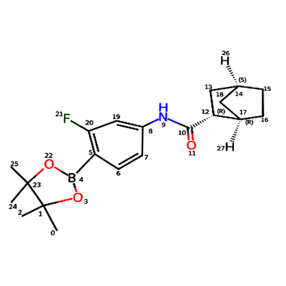 CC1(C)OB(c2ccc(NC(=O)[C@@H]3C[C@H]4CC[C@@H]3C4)cc2F)OC1(C)C